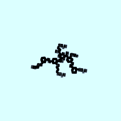 COc1cc(N=Nc2cccc(S(=O)(=O)O)c2)ccc1Nc1nc(NCCS(=O)(=O)O)nc(Nc2ccc(N=Nc3cccc(SOOO)c3)cc2OCCCS(=O)(=O)O)n1